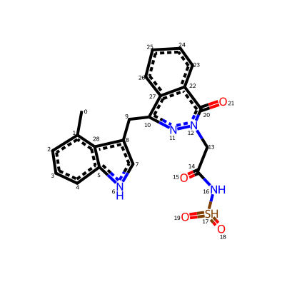 Cc1cccc2[nH]cc(Cc3nn(CC(=O)N[SH](=O)=O)c(=O)c4ccccc34)c12